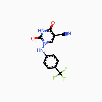 N#Cc1cn(Nc2ccc(C(F)(F)F)cc2)c(=O)[nH]c1=O